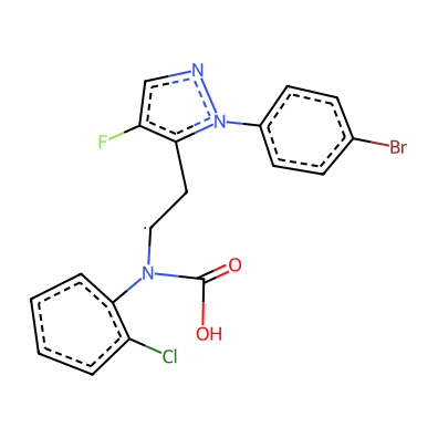 O=C(O)N([CH]Cc1c(F)cnn1-c1ccc(Br)cc1)c1ccccc1Cl